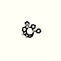 Cc1c2c3ccc1n(-c1ccccc1)c1ccccc1p1c4c5c(ccc4n4ccc[n+]41)oc(s3)c25